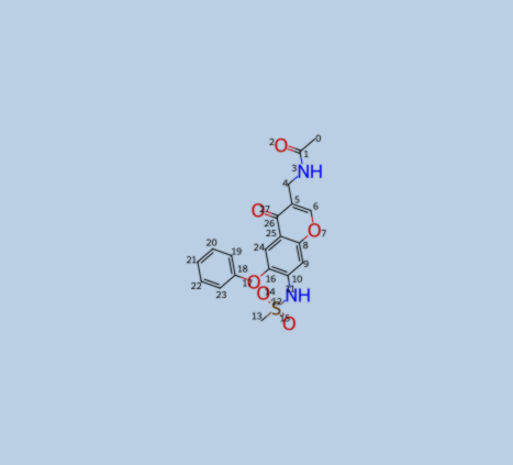 CC(=O)NCc1coc2cc(NS(C)(=O)=O)c(Oc3ccccc3)cc2c1=O